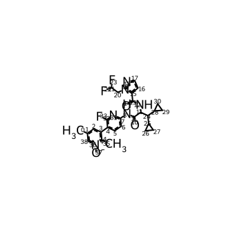 Cc1cc(-c2ccc(NC(=O)[C@@H](NC(=O)c3ccnn3CC(F)F)C(C3CC3)C3CC3)nc2F)c(C)[n+]([O-])c1